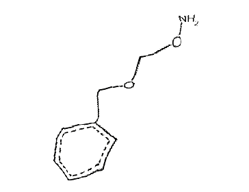 NOCOCc1ccccc1